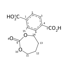 O=C(O)c1ccc(C(=O)O)cc1.O=C1OCCCCO1